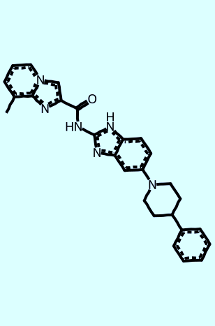 Cc1cccn2cc(C(=O)Nc3nc4cc(N5CCC(c6ccccc6)CC5)ccc4[nH]3)nc12